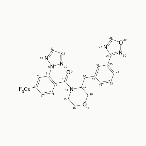 O=C(c1ccc(C(F)(F)F)cc1-n1nccn1)N1CCOCC1Cc1cccc(-c2ncon2)c1